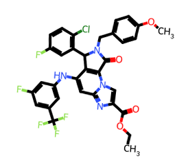 CCOC(=O)c1cn2c3c(c(Nc4cc(F)cc(C(F)(F)F)c4)cc2n1)C(c1cc(F)ccc1Cl)N(Cc1ccc(OC)cc1)C3=O